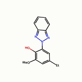 CCc1cc(OC)c(O)c(-n2nc3ccccc3n2)c1